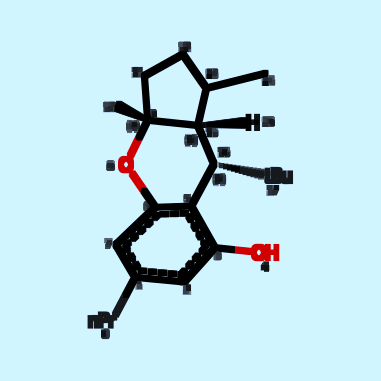 CCCc1cc(O)c2c(c1)O[C@]1(C)CCC(C)[C@@H]1[C@@H]2C(C)(C)C